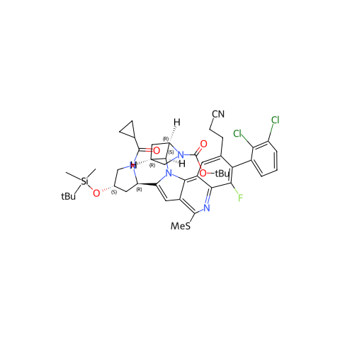 CSc1nc2c(F)c(-c3cccc(Cl)c3Cl)c(CCC#N)cc2c2c1cc([C@H]1C[C@H](O[Si](C)(C)C(C)(C)C)CN1C(=O)C1CC1)n2[C@H]1[C@@H]2C[C@H]1N(C(=O)OC(C)(C)C)C2